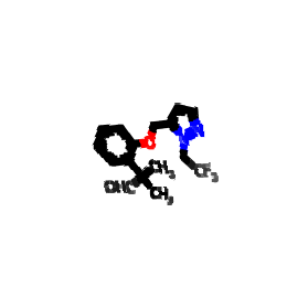 CC(C)(C=O)c1ccccc1OCc1ccnn1CC(F)(F)F